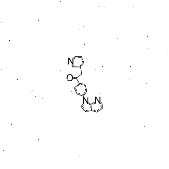 O=C(Cc1cccnc1)c1ccc(-n2ccc3cccnc32)cc1